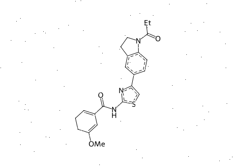 CCC(=O)N1CCc2cc(-c3csc(NC(=O)C4=CCCC(OC)=C4)n3)ccc21